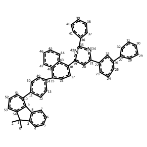 CC1(C)c2ccccc2-c2c(-c3ccc(-c4ccc(-c5cc(-c6cccc(-c7ccccc7)c6)nc(-c6ccccc6)n5)c5ccccc45)cc3)cccc21